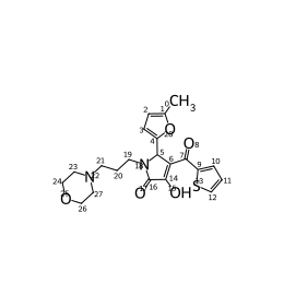 Cc1ccc(C2C(C(=O)c3cccs3)=C(O)C(=O)N2CCCN2CCOCC2)o1